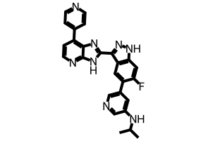 CC(C)Nc1cncc(-c2cc3c(-c4nc5c(-c6ccncc6)ccnc5[nH]4)n[nH]c3cc2F)c1